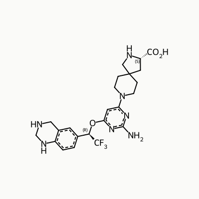 Nc1nc(O[C@H](c2ccc3c(c2)CNCN3)C(F)(F)F)cc(N2CCC3(CC2)CN[C@H](C(=O)O)C3)n1